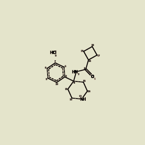 Cl.O=C(NC1(c2ccccc2)CCNCC1)C1CCC1